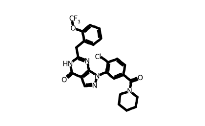 O=C(c1ccc(Cl)c(-n2ncc3c(=O)[nH]c(Cc4ccccc4OC(F)(F)F)nc32)c1)N1CCCCC1